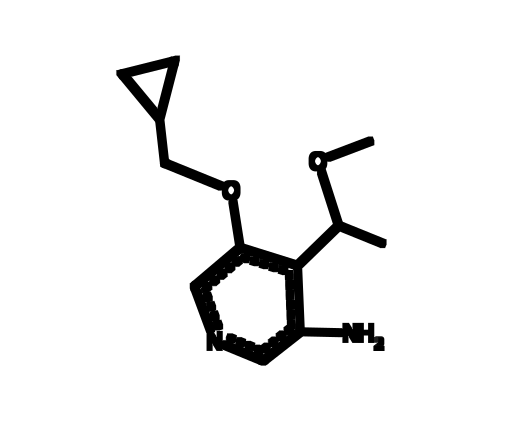 COC(C)c1c(N)cncc1OCC1CC1